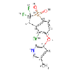 Cc1cncc(Oc2ccc3c(c2Br)CC(F)(F)S3(=O)=O)c1